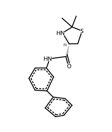 CC1(C)N[C@@H](C(=O)Nc2cccc(-c3ccccc3)c2)CS1